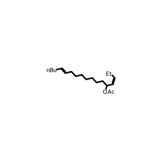 CC/C=C\C(CCCCCCCC=CCCCC)OC(C)=O